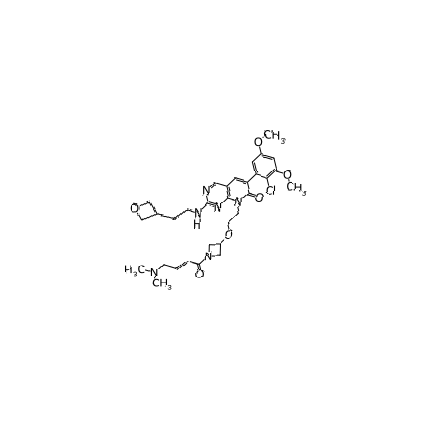 COc1cc(OC)c(Cl)c(-c2cc3cnc(NCCC4COC4)nc3n(CCOC3CN(C(=O)C=CCN(C)C)C3)c2=O)c1